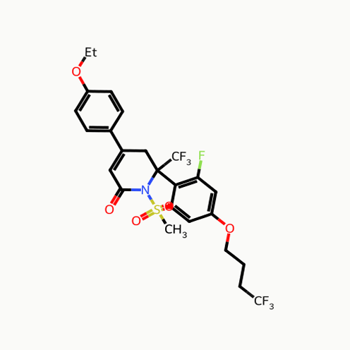 CCOc1ccc(C2=CC(=O)N(S(C)(=O)=O)C(c3ccc(OCCCC(F)(F)F)cc3F)(C(F)(F)F)C2)cc1